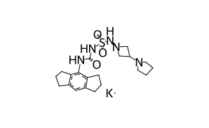 O=C(Nc1c2c(cc3c1CCC3)CCC2)NS(=O)(=O)NN1CC(N2CCCC2)C1.[K]